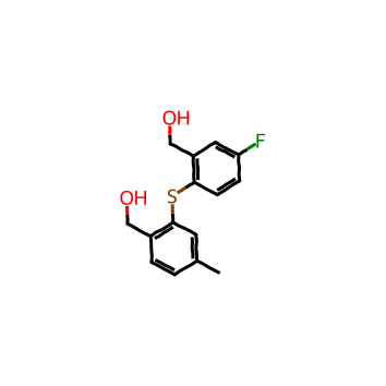 Cc1ccc(CO)c(Sc2ccc(F)cc2CO)c1